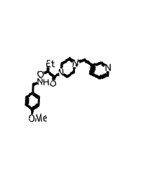 CCC(ONCc1ccc(OC)cc1)C(=O)N1CCN(Cc2cccnc2)CC1